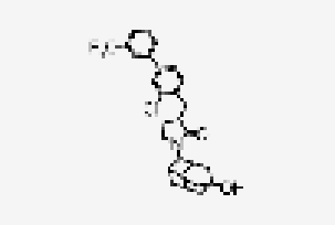 O=C1C(Cc2ccc(-c3cccc(C(F)(F)F)c3)cc2Cl)CCN1C1C2CC3CC1CC(O)(C3)C2